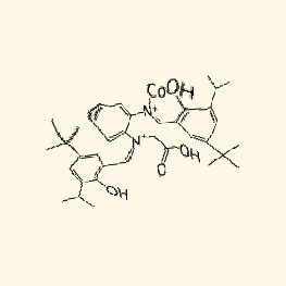 CC(C)c1cc(C(C)(C)C)cc(C=[N+]([Co])c2ccccc2[N+](=Cc2cc(C(C)(C)C)cc(C(C)C)c2O)CC(=O)O)c1O